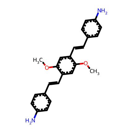 COc1cc(C=Cc2ccc(N)cc2)c(OC)cc1C=Cc1ccc(N)cc1